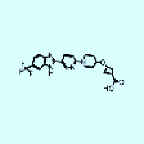 O=C(O)C1CC(OC2CCN(c3ccc(-c4nc5ccc(C(F)(F)F)cc5[nH]4)cn3)CC2)C1